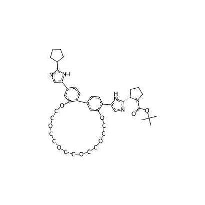 CC(C)(C)OC(=O)N1CCC[C@H]1c1ncc(-c2ccc3cc2OCCOCCOCCOCCOCCOc2cc(-c4cnc(C5CCCC5)[nH]4)ccc2-3)[nH]1